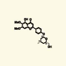 COc1cc2oc(-c3ccc(O[C@H]4C[C@@H](C)C[C@@H](CO)O4)cc3)cc(=O)c2c(O)c1OC